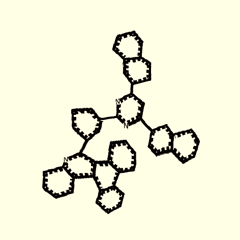 c1cc(-c2nc(-c3ccc4ccccc4c3)cc(-c3ccc4ccccc4c3)n2)cc(-c2nc3ccccc3c3c4ccccc4c4ccccc4c23)c1